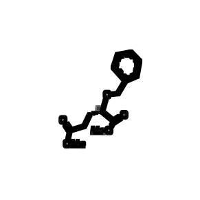 COC(=O)CC[C@H](OCc1ccccc1)C(=O)OC